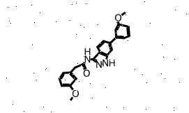 COc1cccc(CC(=O)Nc2n[nH]c3cc(-c4cccc(OC)c4)ccc23)c1